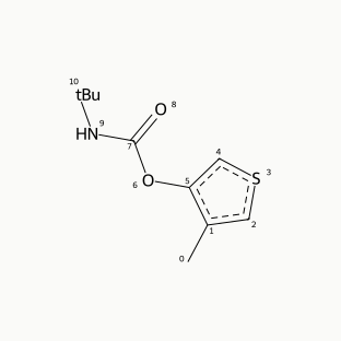 Cc1cscc1OC(=O)NC(C)(C)C